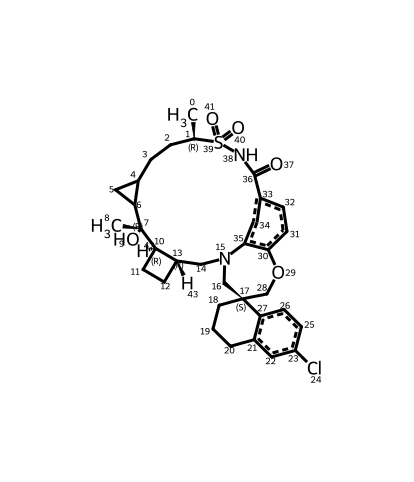 C[C@@H]1CCC2CC2[C@@](C)(O)[C@@H]2CC[C@H]2CN2C[C@@]3(CCCc4cc(Cl)ccc43)COc3ccc(cc32)C(=O)NS1(=O)=O